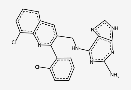 Nc1nc(NCc2cc3cccc(Cl)c3nc2-c2ccccc2Cl)c2nc[nH]c2n1